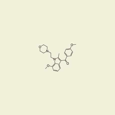 COc1ccc(C(=O)c2c(C)n(CCN3CCOCC3)c3c(OC)cccc23)cc1